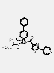 CC(C)[C@H](NS(=O)(=O)C1(NC(=O)c2csc(-c3ccncc3)n2)C=CC(c2ccccc2)=CC1)C(=O)O